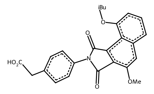 CCC(C)Oc1cccc2cc(OC)c3c(c12)C(=O)N(c1ccc(CC(=O)O)cc1)C3=O